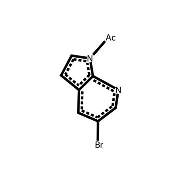 CC(=O)n1ccc2cc(Br)cnc21